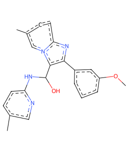 COc1cccc(-c2nc3ccc(C)cn3c2C(O)Nc2ccc(C)cn2)c1